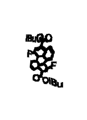 CC(C)COC(=O)c1cc(F)c2c3cccc4c(C(=O)OCC(C)C)cc(F)c(c5cccc1c52)c43